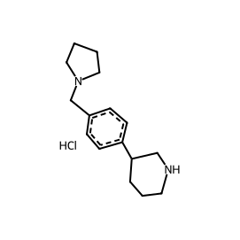 Cl.c1cc(C2CCCNC2)ccc1CN1CCCC1